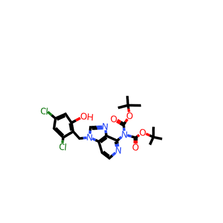 CC(C)(C)OC(=O)N(C(=O)OC(C)(C)C)c1nccc2c1ncn2Cc1c(O)cc(Cl)cc1Cl